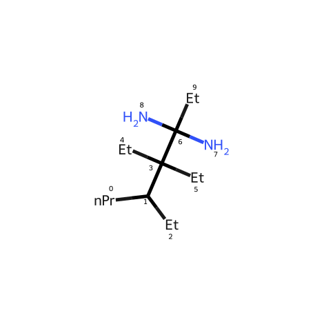 CCCC(CC)C(CC)(CC)C(N)(N)CC